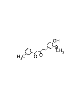 COc1cc(C=CC(=O)CC(=O)c2cccc(C)c2)ccc1O